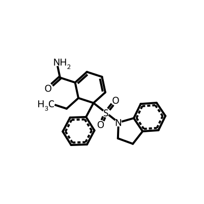 CCC1C(C(N)=O)=CC=CC1(c1ccccc1)S(=O)(=O)N1CCc2ccccc21